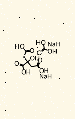 O=C(O)CC(O)(CC(=O)O)C(=O)O.O=C(O)O.[NaH].[NaH]